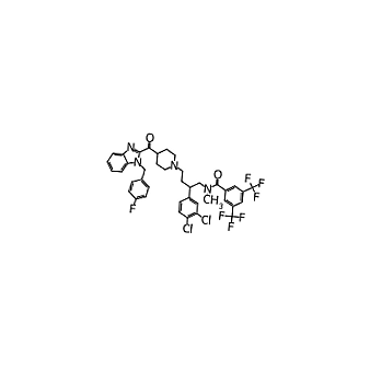 CN(CC(CCN1CCC(C(=O)c2nc3ccccc3n2Cc2ccc(F)cc2)CC1)c1ccc(Cl)c(Cl)c1)C(=O)c1cc(C(F)(F)F)cc(C(F)(F)F)c1